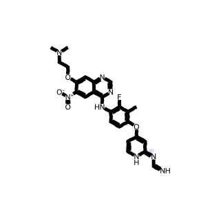 Cc1c(Oc2cc[nH]/c(=N\C=N)c2)ccc(Nc2ncnc3cc(OCCN(C)C)c([N+](=O)[O-])cc23)c1F